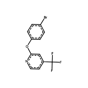 FC(F)(F)c1[c]cnc(Oc2ccc(Br)cc2)c1